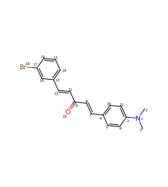 CN(C)c1ccc(C=CC(=O)C=Cc2cccc(Br)c2)cc1